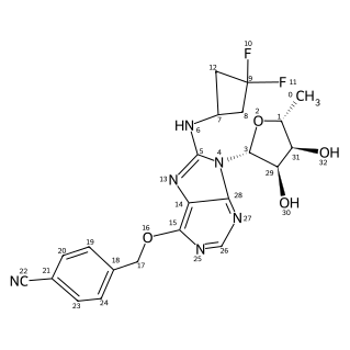 C[C@H]1O[C@@H](n2c(NC3CC(F)(F)C3)nc3c(OCc4ccc(C#N)cc4)ncnc32)[C@H](O)[C@@H]1O